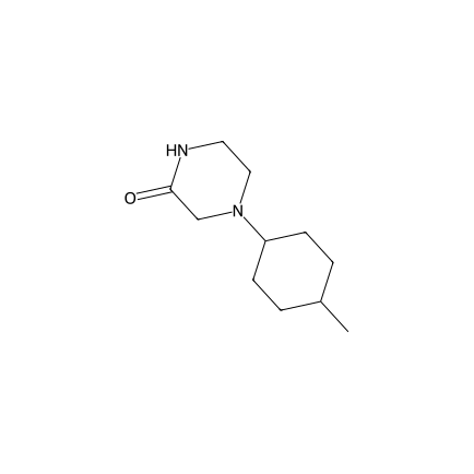 CC1CCC(N2CCNC(=O)C2)CC1